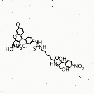 O=C(CCCCCNC(=S)Nc1ccc(-c2c3ccc(=O)cc-3oc3cc(O)ccc23)c(C(=O)O)c1)N[C@H](CO)[C@@H](O)c1ccc([N+](=O)[O-])cc1